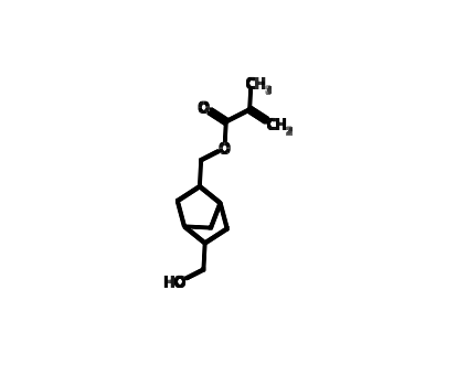 C=C(C)C(=O)OCC1CC2CC1CC2CO